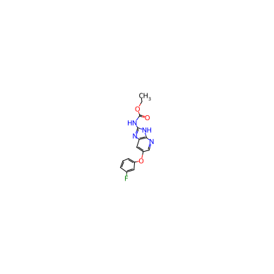 CCOC(=O)Nc1nc2cc(Oc3cccc(F)c3)cnc2[nH]1